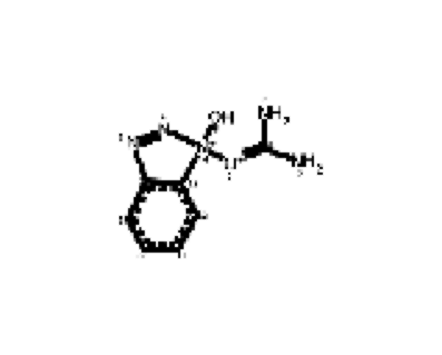 NC(N)=[O+][N+]1(O)N=Nc2ccccc21